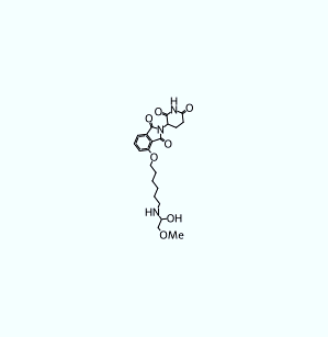 COCC(O)NCCCCCCOc1cccc2c1C(=O)N(C1CCC(=O)NC1=O)C2=O